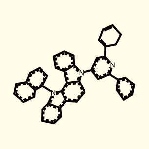 C1=CCCC(c2cc(-n3c4ccccc4c4c3ccc3c5ccccc5n(-c5cccc6ccccc56)c34)cc(-c3ccccc3)n2)=C1